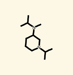 CC(C)N1CCCC(N(C)C(C)C)C1